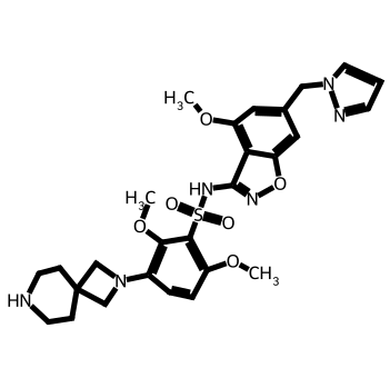 COc1ccc(N2CC3(CCNCC3)C2)c(OC)c1S(=O)(=O)Nc1noc2cc(Cn3cccn3)cc(OC)c12